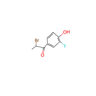 CC(Br)C(=O)c1ccc(O)c(F)c1